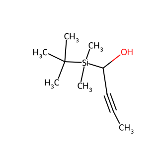 CC#CC(O)[Si](C)(C)C(C)(C)C